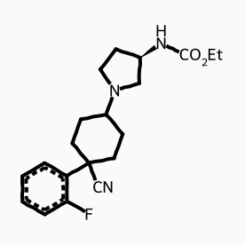 CCOC(=O)N[C@@H]1CCN(C2CCC(C#N)(c3ccccc3F)CC2)C1